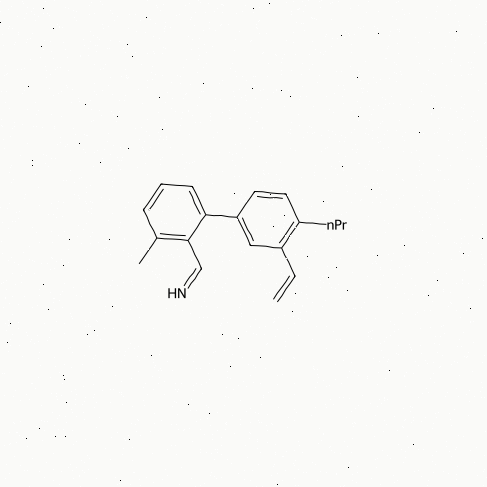 C=Cc1cc(-c2cccc(C)c2C=N)ccc1CCC